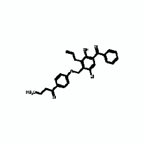 C=CCc1c(O)c(C(=O)c2ccccc2)cc(Cl)c1COc1ccc(C(=O)CCC(=O)O)cc1